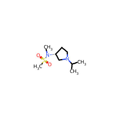 CC(C)N1CC[C@@H](N(C)S(C)(=O)=O)C1